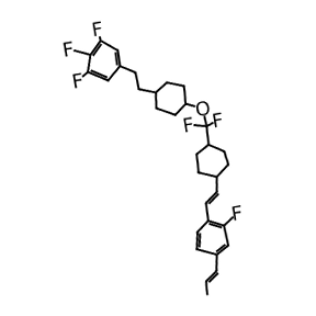 C/C=C/c1ccc(/C=C/C2CCC(C(F)(F)OC3CCC(CCc4cc(F)c(F)c(F)c4)CC3)CC2)c(F)c1